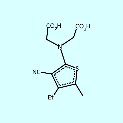 CCc1c(C)sc(N(CC(=O)O)CC(=O)O)c1C#N